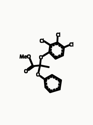 COC(=O)C(C)(Oc1ccccc1)Oc1ccc(Cl)c(Cl)c1Cl